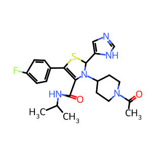 CC(=O)N1CCC(N2C(C(=O)NC(C)C)=C(c3ccc(F)cc3)SC2c2cnc[nH]2)CC1